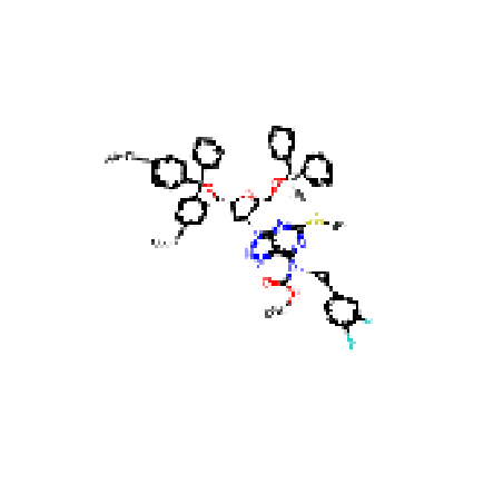 CCCSc1nc(N(C(=O)OC(C)(C)C)[C@@H]2C[C@H]2c2ccc(F)c(F)c2)c2nnn([C@@H]3C[C@H](COC(c4ccccc4)(c4ccc(OC)cc4)c4ccc(OC)cc4)O[C@H]3CO[Si](c3ccccc3)(c3ccccc3)C(C)(C)C)c2n1